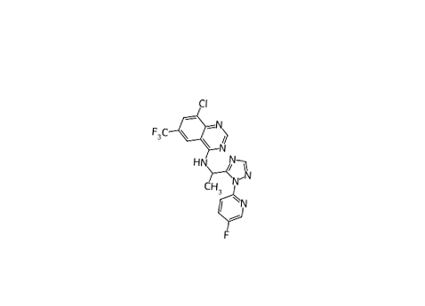 CC(Nc1ncnc2c(Cl)cc(C(F)(F)F)cc12)c1ncnn1-c1ccc(F)cn1